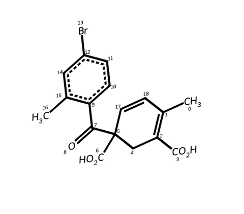 CC1=C(C(=O)O)CC(C(=O)O)(C(=O)c2ccc(Br)cc2C)C=C1